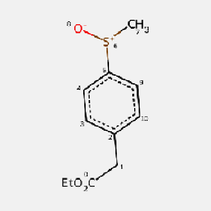 CCOC(=O)Cc1ccc([S+](C)[O-])cc1